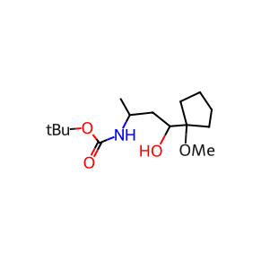 COC1(C(O)CC(C)NC(=O)OC(C)(C)C)CCCC1